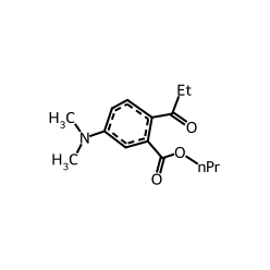 CCCOC(=O)c1cc(N(C)C)ccc1C(=O)CC